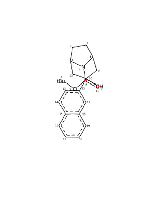 CC(C)(C)OC(=O)N1C2CCC1CC(O)(c1ccc3ccccc3c1)C2